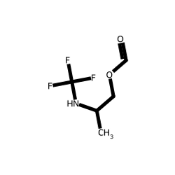 CC(COC=O)NC(F)(F)F